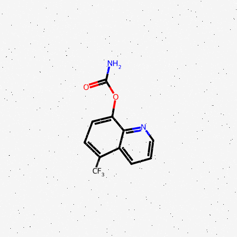 NC(=O)Oc1ccc(C(F)(F)F)c2cccnc12